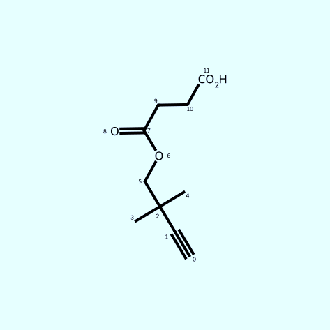 C#CC(C)(C)COC(=O)CCC(=O)O